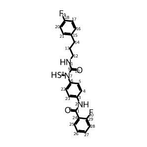 O=C(Nc1ccc(N(S)C(=O)NCCCc2ccc(F)cc2)cc1)c1ccccc1F